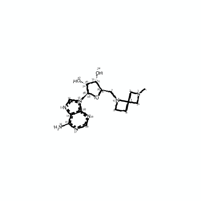 CN1CC2(CCN2C[C@H]2O[C@@H](n3cnc4c(N)ncnc43)[C@H](O)[C@@H]2O)C1